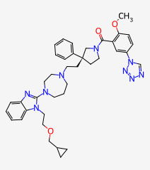 COc1ccc(-n2cnnn2)cc1C(=O)N1CC[C@](CCN2CCCN(c3nc4ccccc4n3CCOCC3CC3)CC2)(c2ccccc2)C1